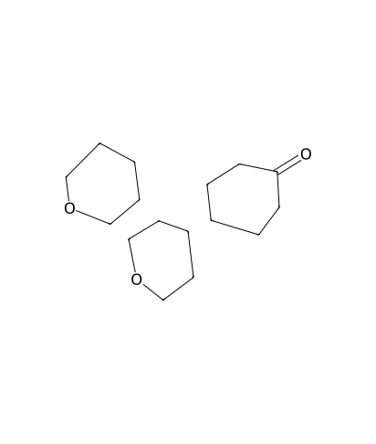 C1CCOCC1.C1CCOCC1.O=C1CCCCC1